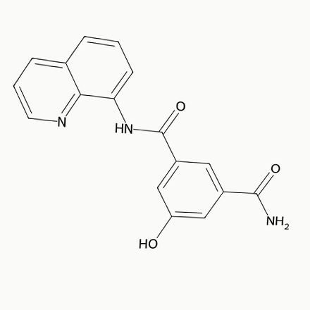 NC(=O)c1cc(O)cc(C(=O)Nc2cccc3cccnc23)c1